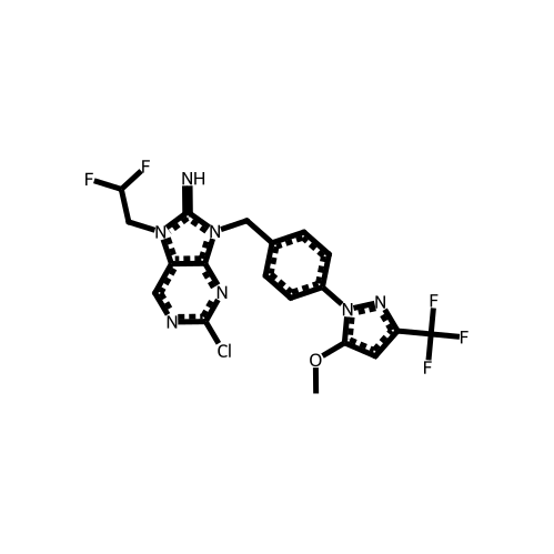 COc1cc(C(F)(F)F)nn1-c1ccc(Cn2c(=N)n(CC(F)F)c3cnc(Cl)nc32)cc1